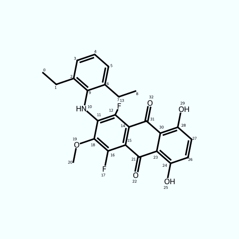 CCc1cccc(CC)c1Nc1c(F)c2c(c(F)c1OC)C(=O)c1c(O)ccc(O)c1C2=O